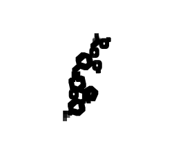 COc1cc(CN2CCC3(CC2)Oc2cc(F)ccc2-n2cccc23)ccc1OC[C@@H](C)OC